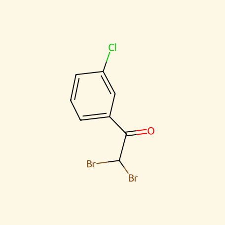 O=C(c1cccc(Cl)c1)C(Br)Br